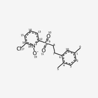 Cc1ccc(C)c(CCS(=O)(=O)c2cccc(Cl)[n+]2[O-])c1